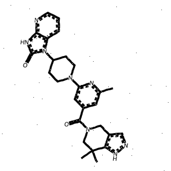 Cc1cc(C(=O)N2Cc3cn[nH]c3C(C)(C)C2)cc(N2CCC(n3c(=O)[nH]c4ncccc43)CC2)n1